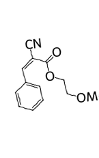 COCCOC(=O)C(C#N)=Cc1ccccc1